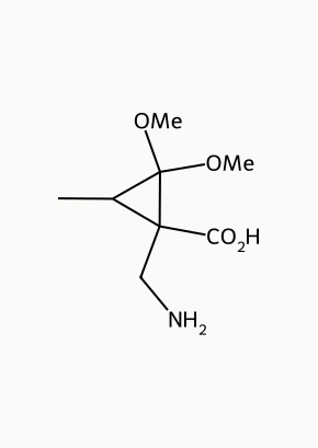 COC1(OC)C(C)C1(CN)C(=O)O